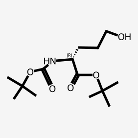 CC(C)(C)OC(=O)N[C@H](CCCO)C(=O)OC(C)(C)C